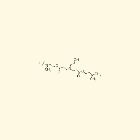 CN(C)CCOC(=O)CCN(CCO)CCC(=O)OCCN(C)C